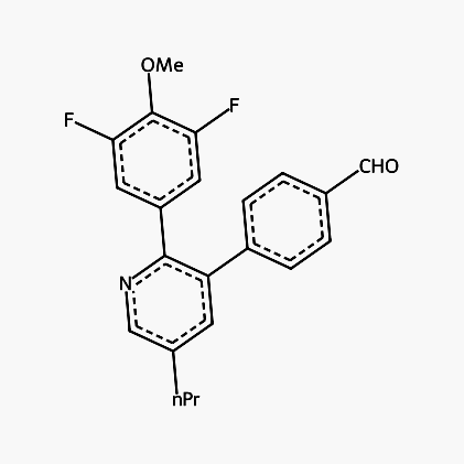 CCCc1cnc(-c2cc(F)c(OC)c(F)c2)c(-c2ccc(C=O)cc2)c1